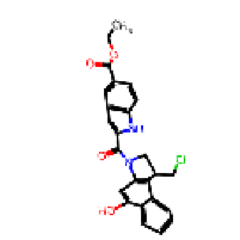 CCOC(=O)c1ccc2[nH]c(C(=O)N3CC(CCl)c4c3cc(O)c3ccccc43)cc2c1